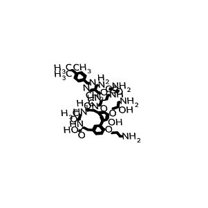 Cc1nc(-c2ccc(C(C)(C)C)cc2)nc(N)c1C(=O)N[C@@H](CCNS(N)(=O)=O)C(=O)N(C)[C@@H]1C(=O)N[C@@H](C)C(=O)N[C@H](C(=O)O)Cc2ccc(OCCCN)c(c2)-c2cc1cc(OC[C@@H](O)CN)c2O